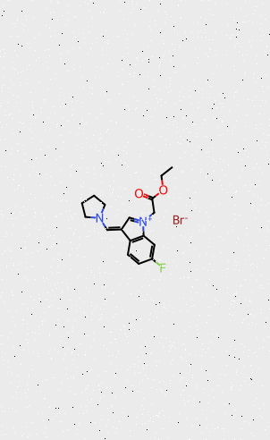 CCOC(=O)C[N+]1=C/C(=C\N2CCCC2)c2ccc(F)cc21.[Br-]